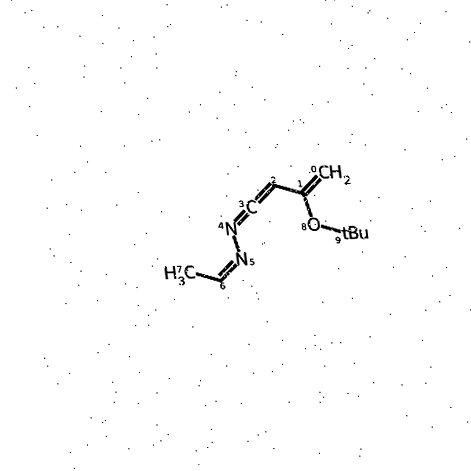 C=C(C=C=N/N=C\C)OC(C)(C)C